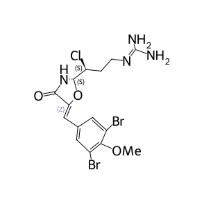 COc1c(Br)cc(/C=C2\O[C@@H]([C@@H](Cl)CCN=C(N)N)NC2=O)cc1Br